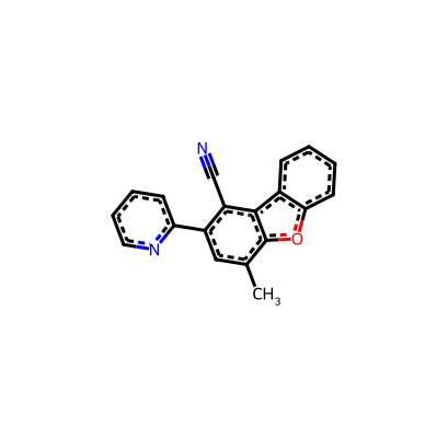 Cc1cc(-c2ccccn2)c(C#N)c2c1oc1ccccc12